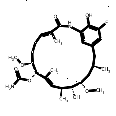 CO[C@H]1C[C@H](C)Cc2cc(F)c(O)c(c2)NC(=O)/C(C)=C/CC[C@H](OC)[C@@H](OC(N)=O)/C(C)=C/[C@H](C)[C@H]1O